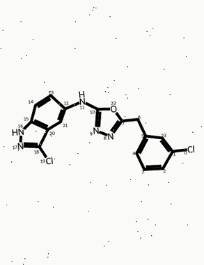 Clc1cccc(Cc2nnc(Nc3ccc4[nH]nc(Cl)c4c3)o2)c1